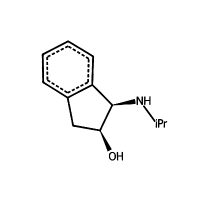 CC(C)N[C@@H]1c2ccccc2C[C@@H]1O